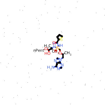 CCCCCOC(O)C(C)(C)NP(=O)(CO[C@H](C)Cn1cnc2c(N)ncnc21)NC(=O)c1cccs1